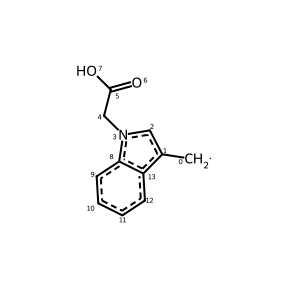 [CH2]c1cn(CC(=O)O)c2ccccc12